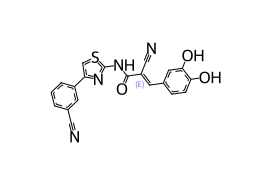 N#C/C(=C\c1ccc(O)c(O)c1)C(=O)Nc1nc(-c2cccc(C#N)c2)cs1